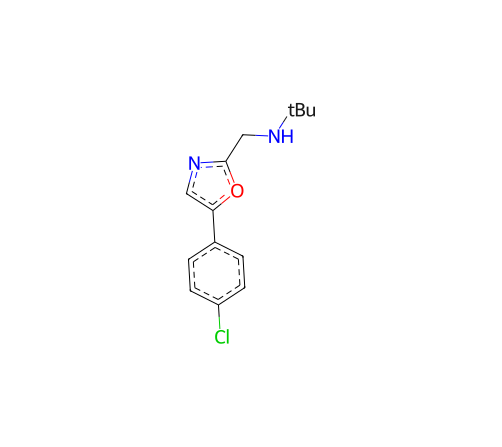 CC(C)(C)NCc1ncc(-c2ccc(Cl)cc2)o1